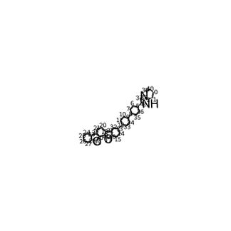 C1=CC2NC(c3ccc(-c4ccc(-c5ccc6oc7c(ccc8c9ccccc9oc87)c6c5)cc4)cc3)=CN2C=C1